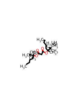 CCCCCC(C)(OC(=O)CC(=O)OC(C)(CCCCC)C(C)(C)C)C(C)(C)C.[KH].[LiH]